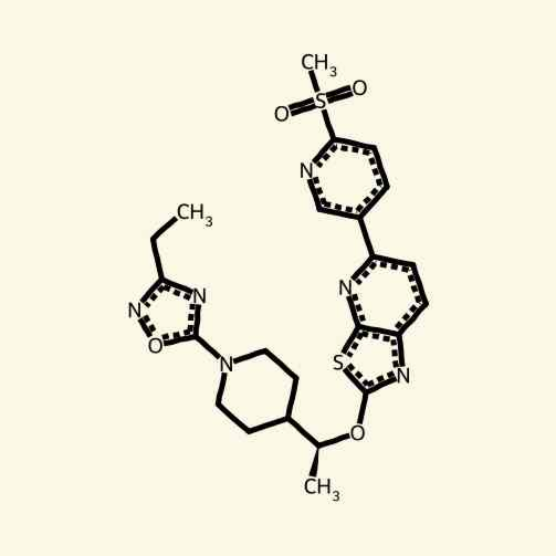 CCc1noc(N2CCC([C@H](C)Oc3nc4ccc(-c5ccc(S(C)(=O)=O)nc5)nc4s3)CC2)n1